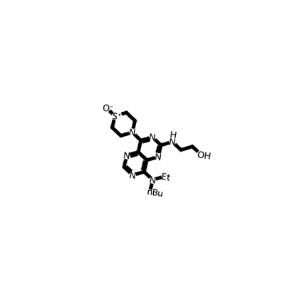 CCCCN(CC)c1ncnc2c(N3CC[S+]([O-])CC3)nc(NCCO)nc12